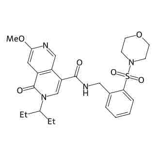 CCC(CC)n1cc(C(=O)NCc2ccccc2S(=O)(=O)N2CCOCC2)c2cnc(OC)cc2c1=O